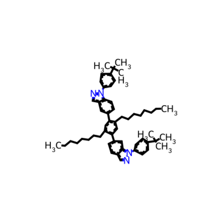 CCCCCCCCc1cc(-c2ccc3cnn(-c4ccc(C(C)(C)C)cc4)c3c2)c(CCCCCCCC)cc1-c1ccc2c(cnn2-c2ccc(C(C)(C)C)cc2)c1